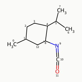 CC1CCC(C(C)C)[C](N=C=O)C1